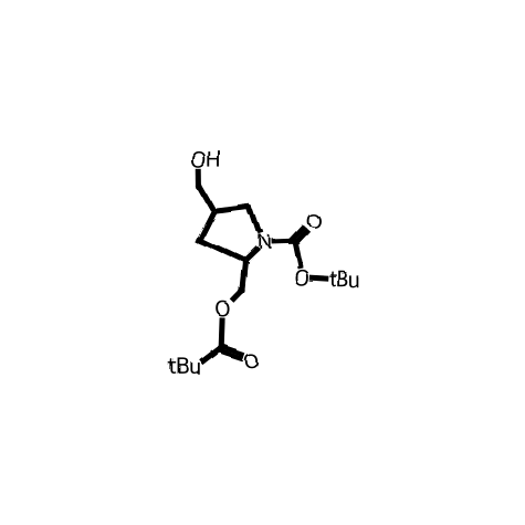 CC(C)(C)OC(=O)N1CC(CO)CC1COC(=O)C(C)(C)C